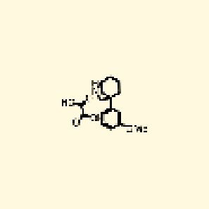 COc1cccc(C23CCCC(C2)NC3)c1.O=C(O)C(=O)O